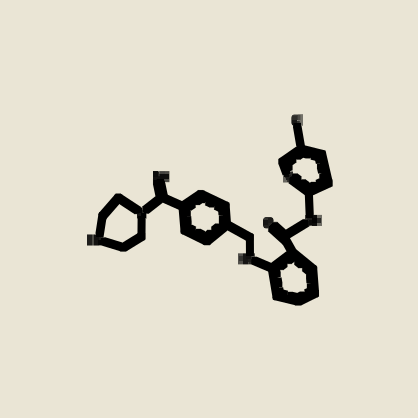 N=C(c1ccc(CNc2ccccc2C(=O)Nc2ccc(Cl)cn2)cc1)N1CCNCC1